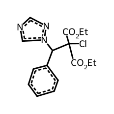 CCOC(=O)C(Cl)(C(=O)OCC)C(c1ccccc1)n1cncn1